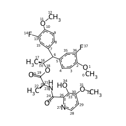 COc1ccc(C(c2ccc(OC)c(F)c2)[C@H](C)OC(=O)[C@H](C)NC(=O)c2nccc(OC)c2O)cc1F